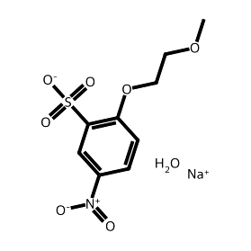 COCCOc1ccc([N+](=O)[O-])cc1S(=O)(=O)[O-].O.[Na+]